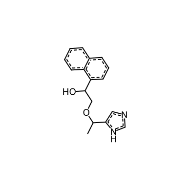 CC(OCC(O)c1cccc2ccccc12)c1cnc[nH]1